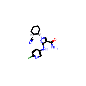 N#C[C@@H]1CCCC[C@@H]1n1cc(C(N)=O)c(Nc2ccc(F)nc2)n1